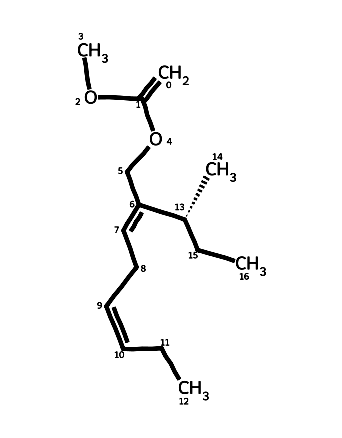 C=C(OC)OC/C(=C/C/C=C\CC)[C@H](C)CC